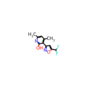 Cc1cc(C)c(-c2cc(C(F)F)on2)c(O)n1